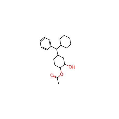 CC(=O)OC1CCC(C(c2ccccc2)C2CCCCC2)CC1O